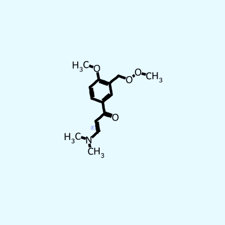 COOCc1cc(C(=O)/C=C/N(C)C)ccc1OC